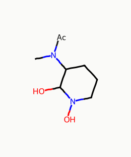 CC(=O)N(C)C1CCCN(O)C1O